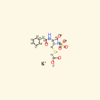 COC(=O)CSCC1C(NC(=O)Cc2ccccc2)C(=O)N1S(=O)(=O)[O-].[K+]